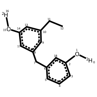 [2H]Oc1cccc(Cc2cc(CC)cc(O[2H])c2)c1